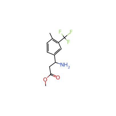 COC(=O)CC(N)c1ccc(C)c(C(F)(F)F)c1